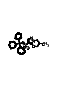 C[C@H]1COc2c(S(N)(=O)=NC(c3ccccc3)(c3ccccc3)c3ccccc3)cnn2C1